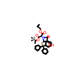 C=CCOC(=O)C(C(=O)OC(C)[Si](C)(C)C)N1C(=O)[C@H](C(C)O)[C@H]1SC(c1ccccc1)(c1ccccc1)c1ccccc1